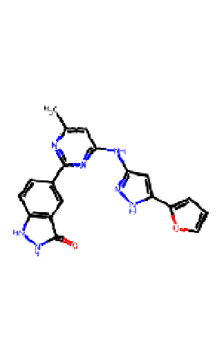 Cc1cc(Nc2cc(-c3ccco3)[nH]n2)nc(-c2ccc3[nH][nH]c(=O)c3c2)n1